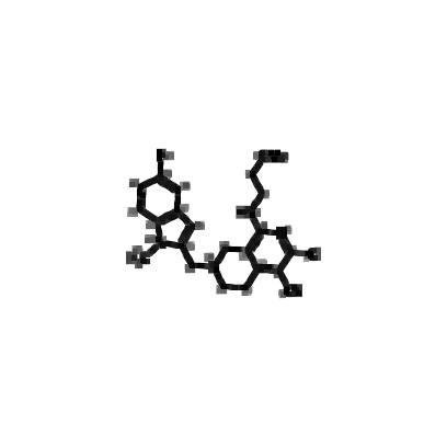 COCCNc1nc(Cl)c(C#N)c2c1CN(Cc1cc3cc(F)ccc3n1C)CC2